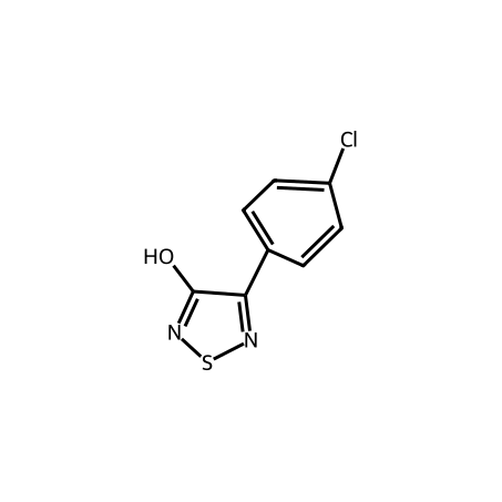 Oc1nsnc1-c1ccc(Cl)cc1